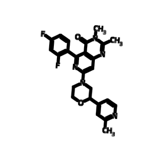 Cc1cc(C2CN(c3cc4nc(C)n(C)c(=O)c4c(-c4ccc(F)cc4F)n3)CCO2)ccn1